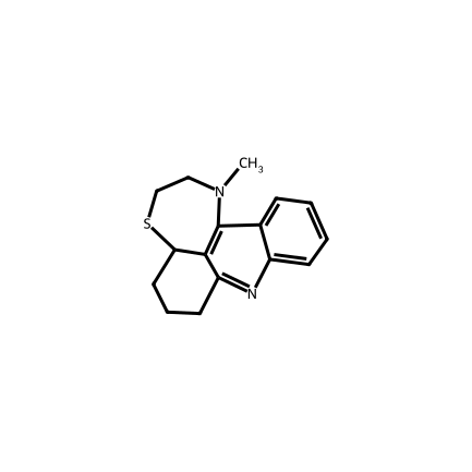 CN1CCSC2CCCc3nc4ccccc4c1c32